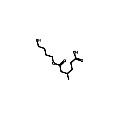 CC(CCC(=O)O)CC(=O)OCCCCO